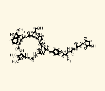 CC[C@H](C)[C@@H]1NC(=O)CNC(=O)[C@H](Cc2c(SC)[nH]c3ccccc23)NC(=O)[C@H](C[C@@H](O)CO)NC2CCCN2C(=O)[C@H](CC(=O)NCc2ccc(NC(=O)[C@H](C)NC(=O)CNC(=O)CCN3C(=O)CC(S)C3=O)cc2)NC(=O)CNC(=O)CNC1=O